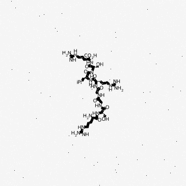 CC(C)C[C@H](NC(=O)[C@H](CCCNC(=N)N)NC(=O)CNC(=O)CNC(=O)[C@H](CO)NC(=O)[C@@H](N)CCCNC(=N)N)C(=O)N[C@@H](CO)C(=O)N[C@@H](CCCNC(=N)N)C(=O)O